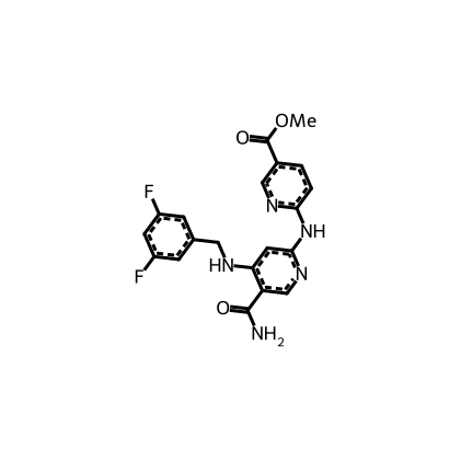 COC(=O)c1ccc(Nc2cc(NCc3cc(F)cc(F)c3)c(C(N)=O)cn2)nc1